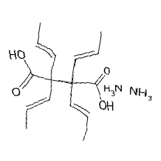 CC=CC(C=CC)(C(=O)O)C(C=CC)(C=CC)C(=O)O.N.N